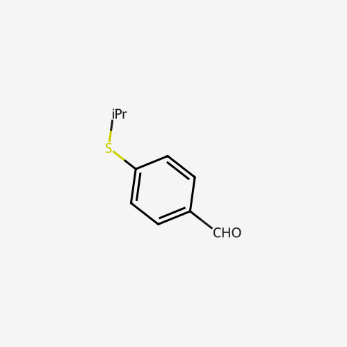 CC(C)Sc1ccc(C=O)cc1